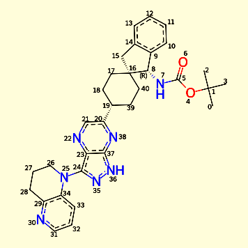 CC(C)(C)OC(=O)N[C@H]1c2ccccc2C[C@]12CC[C@@H](c1cnc3c(N4CCCc5ncccc54)n[nH]c3n1)CC2